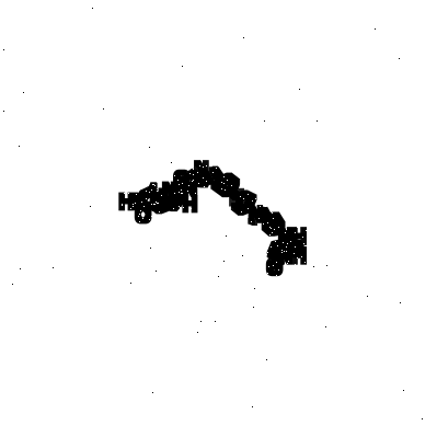 C[C@@H]1CNC(=O)c2cc3ccc(C(=O)Nc4cnn(Cc5ccc(N6CCC(N(C)Cc7ccc(NC8CCC(=O)NC8=O)cc7)CC6)cc5)c4)nc3n21